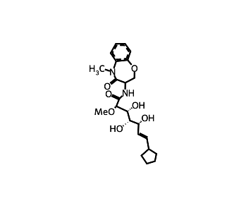 CO[C@@H](C(=O)NC1COc2ccccc2N(C)C1=O)[C@H](O)[C@@H](O)[C@H](O)/C=C/C1CCCC1